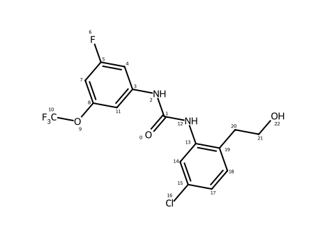 O=C(Nc1cc(F)cc(OC(F)(F)F)c1)Nc1cc(Cl)ccc1CCO